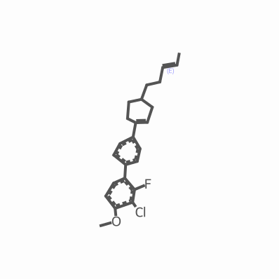 C/C=C/CCC1CC=C(c2ccc(-c3ccc(OC)c(Cl)c3F)cc2)CC1